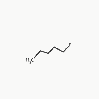 [CH2]CCC[C]F